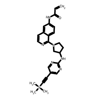 C=CC(=O)Nc1ccc2c(N3CCC(Nc4ncc(C#C[Si](C)(C)C)cn4)C3)nccc2c1